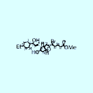 CCC1CCC([C@H](O)/C=C/[C@@H]2[C@H]3C[C@H](C(Br)CCCC(=O)OC)O[C@@H]3C[C@H]2O)CC1